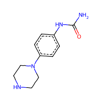 NC(=O)Nc1ccc(N2CCNCC2)cc1